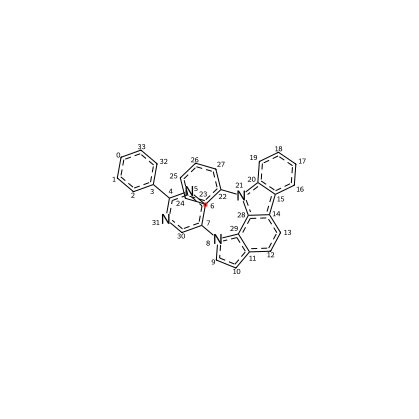 c1ccc(-c2ncc(-n3ccc4ccc5c6ccccc6n(-c6ccccc6)c5c43)cn2)cc1